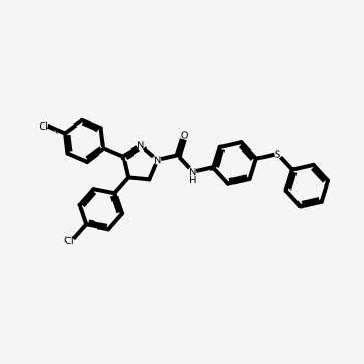 O=C(Nc1ccc(Sc2ccccc2)cc1)N1CC(c2ccc(Cl)cc2)C(c2ccc(Cl)cc2)=N1